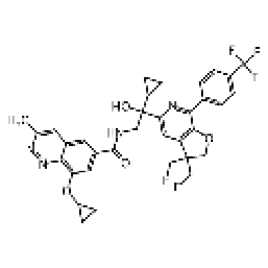 Cc1cc2cc(C(=O)NCC(O)(c3cc4c(c(-c5ccc(C(F)(F)F)cc5)n3)OCC4(CF)CF)C3CC3)cc(OC3CC3)c2nn1